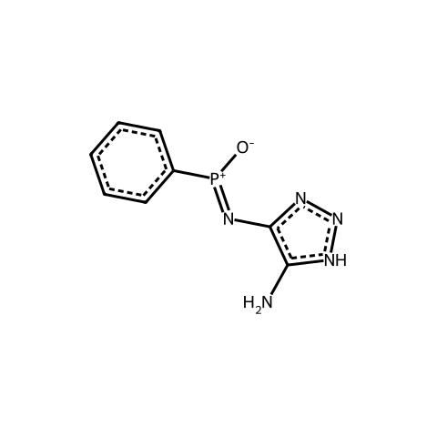 Nc1[nH]nnc1/N=[P+](\[O-])c1ccccc1